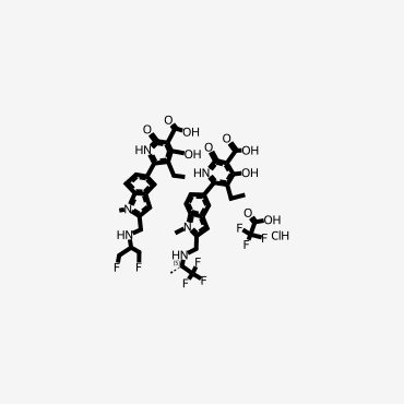 CCc1c(-c2ccc3c(c2)cc(CNC(CF)CF)n3C)[nH]c(=O)c(C(=O)O)c1O.CCc1c(-c2ccc3c(c2)cc(CN[C@@H](C)C(F)(F)F)n3C)[nH]c(=O)c(C(=O)O)c1O.Cl.O=C(O)C(F)(F)F